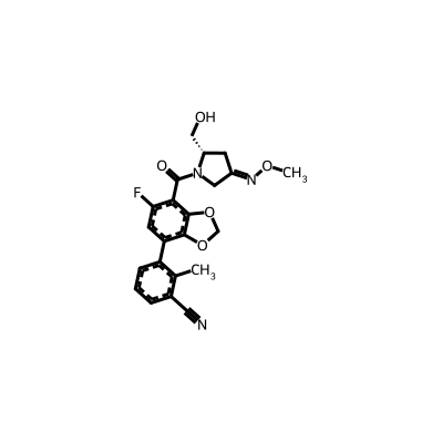 CO/N=C1\C[C@@H](CO)N(C(=O)c2c(F)cc(-c3cccc(C#N)c3C)c3c2OCO3)C1